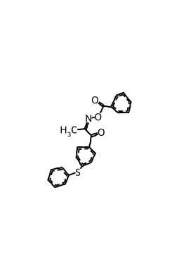 C/C(=N/OC(=O)c1ccccc1)C(=O)c1ccc(Sc2ccccc2)cc1